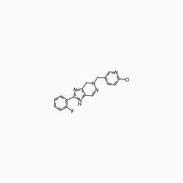 Fc1ccccc1-c1nc2c([nH]1)C=NN(Cc1ccc(Cl)nc1)C2